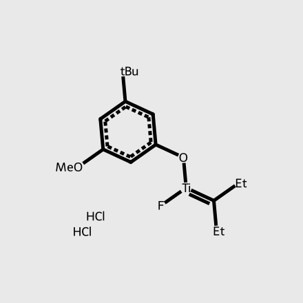 CC[C](CC)=[Ti]([F])[O]c1cc(OC)cc(C(C)(C)C)c1.Cl.Cl